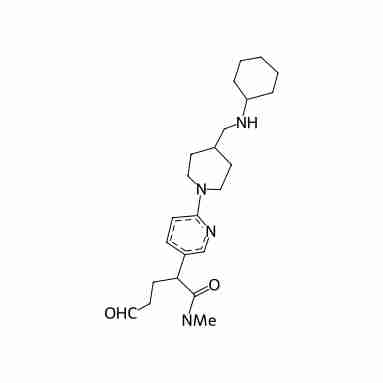 CNC(=O)C(CCC=O)c1ccc(N2CCC(CNC3CCCCC3)CC2)nc1